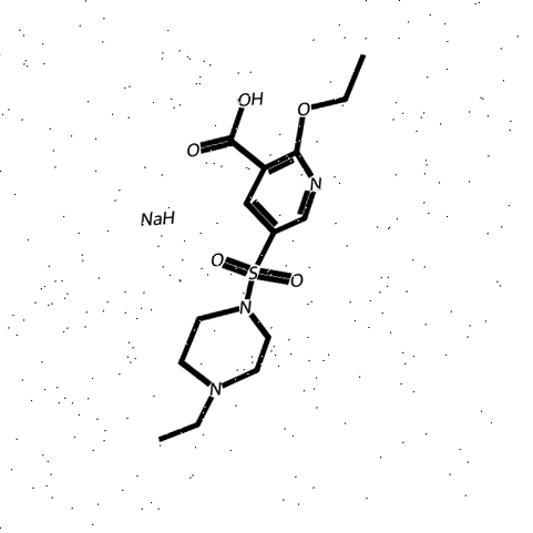 CCOc1ncc(S(=O)(=O)N2CCN(CC)CC2)cc1C(=O)O.[NaH]